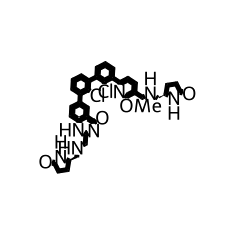 COc1nc(-c2cccc(-c3cccc(-c4ccc5[nH]c(CNC[C@H]6CCC(=O)N6)nc(=O)c5c4)c3Cl)c2Cl)ccc1CNC[C@@H]1CCC(=O)N1